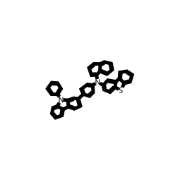 c1ccc(-n2c3ccccc3c3ccc(-c4ccc(N(c5ccc6sc7ccccc7c6c5)c5cccc6ccccc56)cc4)cc32)cc1